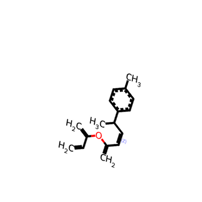 C=CC(=C)OC(=C)/C=C\C(C)c1ccc(C)cc1